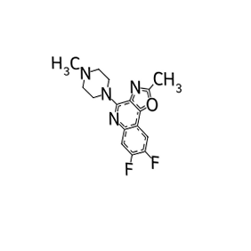 Cc1nc2c(N3CCN(C)CC3)nc3cc(F)c(F)cc3c2o1